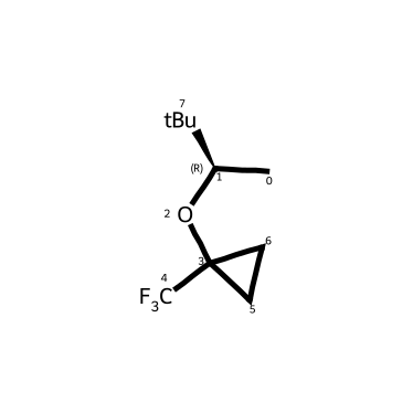 C[C@@H](OC1(C(F)(F)F)CC1)C(C)(C)C